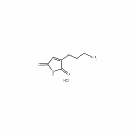 Cl.NCCCC1=CC(=O)NC1=O